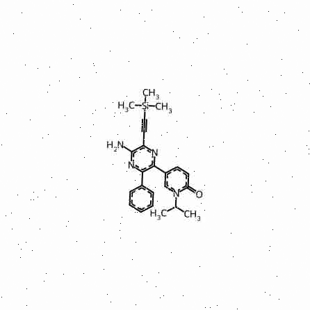 CC(C)n1cc(-c2nc(C#C[Si](C)(C)C)c(N)nc2-c2ccccc2)ccc1=O